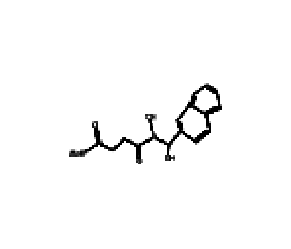 COC(=O)CCC(=O)N(O)C(O)c1ccc2ccccc2c1